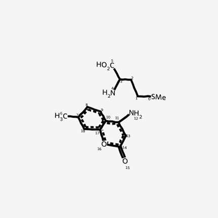 CSCCC(N)C(=O)O.Cc1ccc2c(N)cc(=O)oc2c1